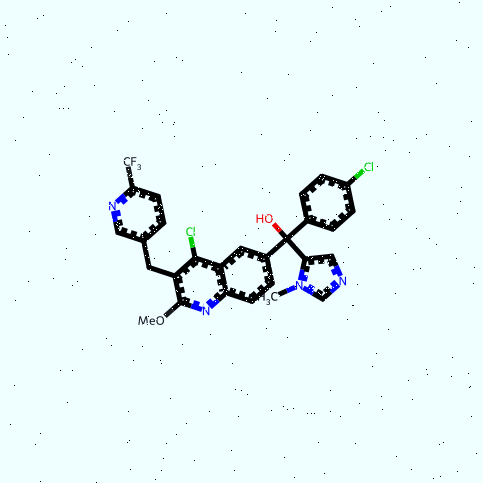 COc1nc2ccc(C(O)(c3ccc(Cl)cc3)c3cncn3C)cc2c(Cl)c1Cc1ccc(C(F)(F)F)nc1